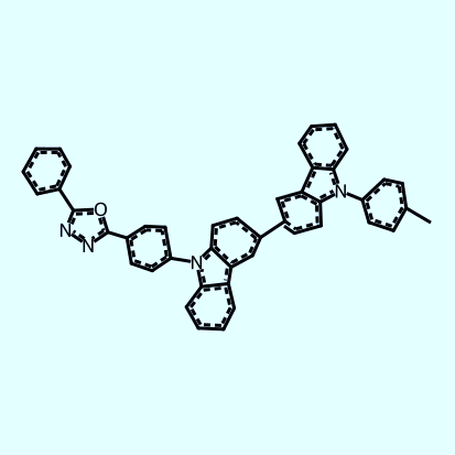 Cc1ccc(-n2c3ccccc3c3cc(-c4ccc5c(c4)c4ccccc4n5-c4ccc(-c5nnc(-c6ccccc6)o5)cc4)ccc32)cc1